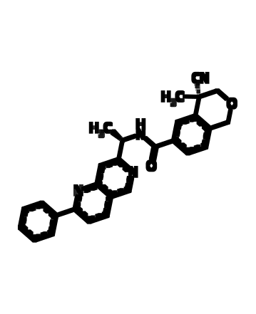 C[C@@H](NC(=O)c1ccc2c(c1)[C@](C)(C#N)COC2)c1cc2nc(-c3ccccc3)ccc2cn1